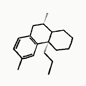 CCC[C@@]12CCCCC1[C@@H](C)Cc1ccc(C)cc12